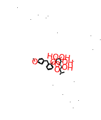 COc1ccc(Cc2ccccc2O[C@H]2O[C@H](C(O)C(=O)C(C)C)[C@@H](O)[C@H](O)[C@H]2O)cc1